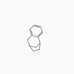 c1ccc2c(c1)C[C]1CCC2C1